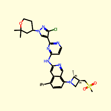 CC(C)c1ccc(N2C[C@H](CS(C)(=O)=O)[C@H]2C)c2cnc(Nc3ccnc(-c4cn(C5CCOC(C)(C)C5)nc4Cl)n3)cc12